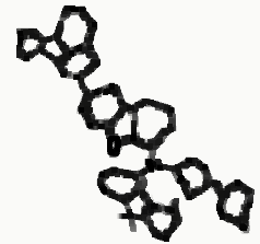 CC1(C)c2ccccc2-c2c(N(c3ccc(-c4ccccc4)cc3)c3cccc4c3oc3ccc(-c5cc6c7c(cccc7c5)-c5ccccc5-6)cc34)cccc21